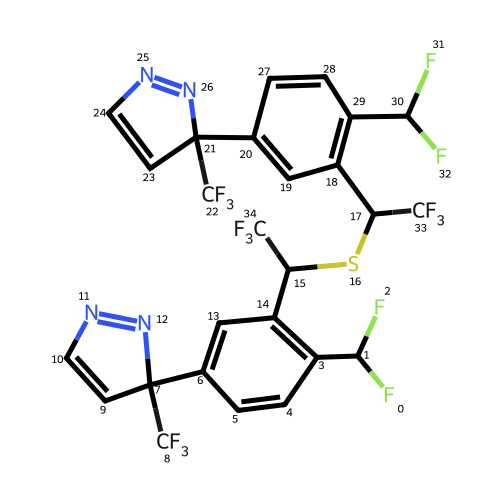 FC(F)c1ccc(C2(C(F)(F)F)C=CN=N2)cc1C(SC(c1cc(C2(C(F)(F)F)C=CN=N2)ccc1C(F)F)C(F)(F)F)C(F)(F)F